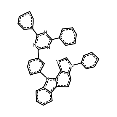 c1ccc(-c2nc(-c3ccccc3)nc(-c3cccc(-n4c5ccccc5c5ccc6c(ncn6-c6ccccc6)c54)c3)n2)cc1